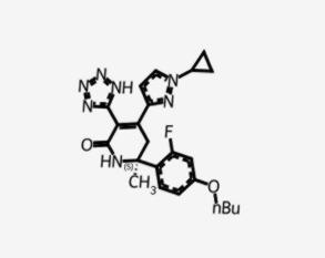 CCCCOc1ccc([C@]2(C)CC(c3ccn(C4CC4)n3)=C(c3nnn[nH]3)C(=O)N2)c(F)c1